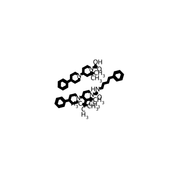 CC(C)(C)C1C(N2CCC(c3ccccc3)CC2)CCN(C(=O)NCCCCc2ccccc2)C1(C)C.CC1(C)CC(N2CCC(c3ccccc3)CC2)CCN1C(=O)O